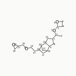 CC(OC1CCO1)C1CC2C3CC(CCOCC4CO4)C(C3)C2C1